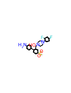 CS(=O)(=O)c1ccc(-c2ccc(N)cc2)c(C(O)N2CCN(c3ccc(F)cc3F)CC2)c1